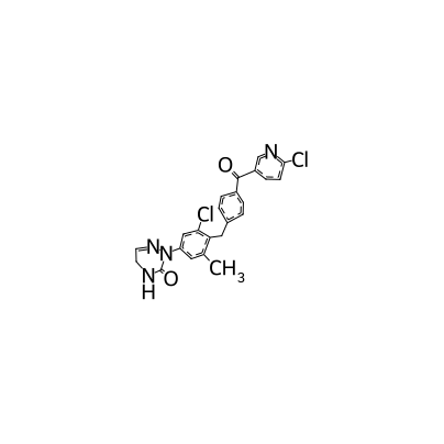 Cc1cc(N2N=CCNC2=O)cc(Cl)c1Cc1ccc(C(=O)c2ccc(Cl)nc2)cc1